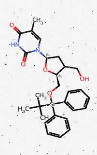 Cc1cn([C@H]2CC(CO)[C@@H](CO[Si](c3ccccc3)(c3ccccc3)C(C)(C)C)O2)c(=O)[nH]c1=O